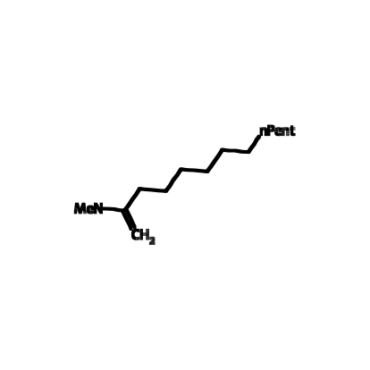 C=C(CCCCCCCCCCC)NC